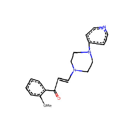 COc1ccccc1C(=O)C=CN1CCN(c2ccncc2)CC1